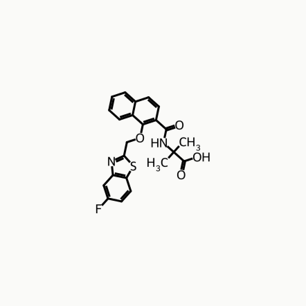 CC(C)(NC(=O)c1ccc2ccccc2c1OCc1nc2cc(F)ccc2s1)C(=O)O